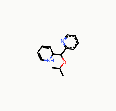 CC(C)OC(c1ccccn1)C1C=CC=CN1